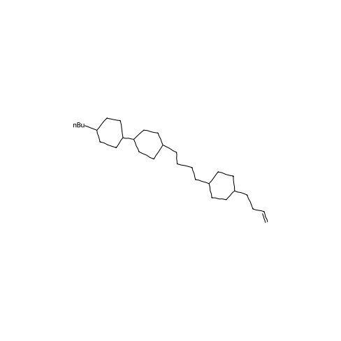 C=CCCC1CCC(CCCCC2CCC(C3CCC(CCCC)CC3)CC2)CC1